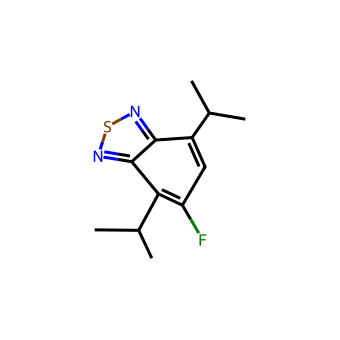 CC(C)c1cc(F)c(C(C)C)c2nsnc12